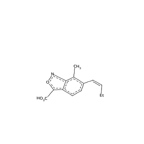 CC/C=C\c1ccc2c(C(=O)O)onc2c1C